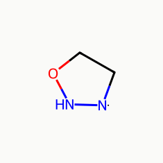 C1CON[N]1